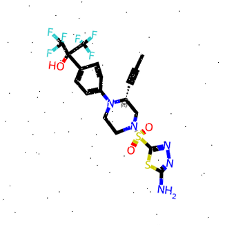 CC#C[C@@H]1CN(S(=O)(=O)c2nnc(N)s2)CCN1c1ccc(C(O)(C(F)(F)F)C(F)(F)F)cc1